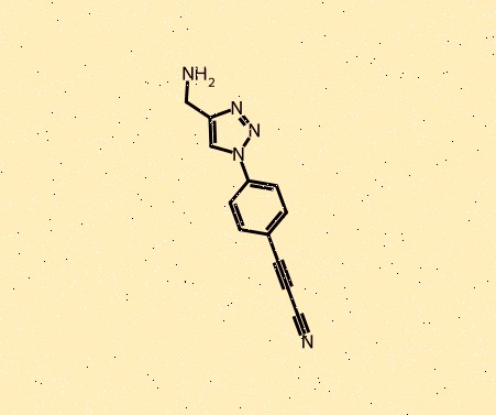 N#CC#Cc1ccc(-n2cc(CN)nn2)cc1